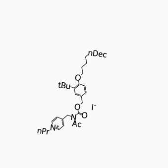 CCCCCCCCCCCCCCOc1ccc(COC(=O)N(Cc2cc[n+](CCC)cc2)C(C)=O)cc1C(C)(C)C.[I-]